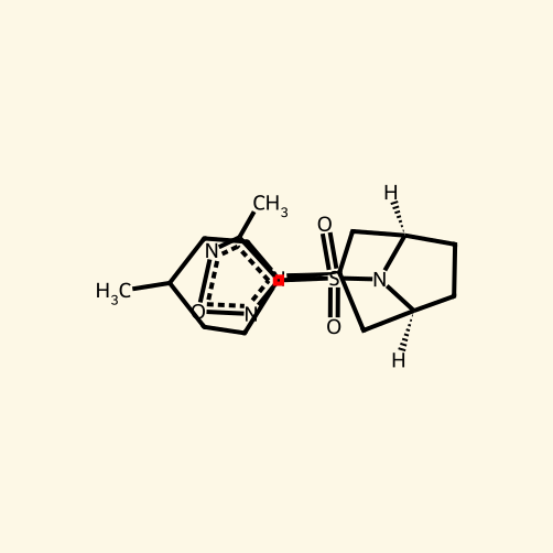 Cc1nonc1S(=O)(=O)N1[C@@H]2CC[C@H]1C[C@@H](N1CCC(C)CC1)C2